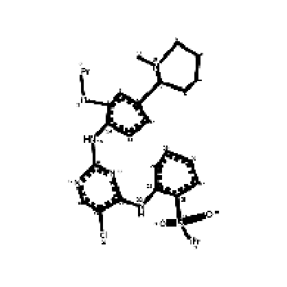 CC(C)Oc1cc(C2CCCCN2C)ccc1Nc1ncc(Cl)c(Nc2ccccc2S(=O)(=O)C(C)C)n1